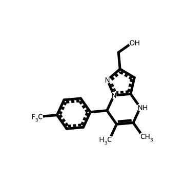 CC1=C(C)C(c2ccc(C(F)(F)F)cc2)n2nc(CO)cc2N1